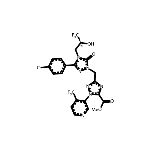 COC(=O)c1nc(Cn2nc(-c3ccc(Cl)cc3)n(C[C@H](O)C(F)(F)F)c2=O)nn1-c1cnccc1C(F)(F)F